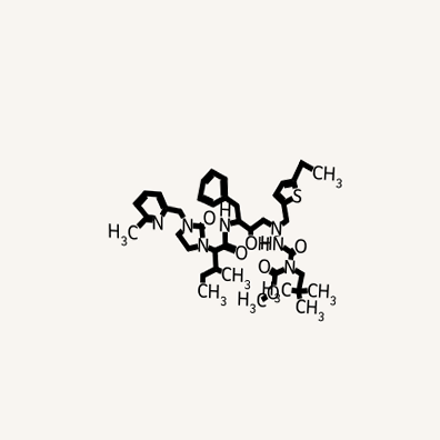 CCc1ccc(CN(CC(O)C(Cc2ccccc2)NC(=O)C(C(C)CC)N2CCN(Cc3cccc(C)n3)C2=O)NC(=O)N(CC(C)(C)C)C(=O)OC)s1